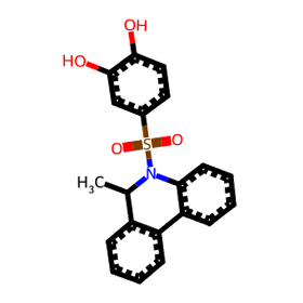 CC1c2ccccc2-c2ccccc2N1S(=O)(=O)c1ccc(O)c(O)c1